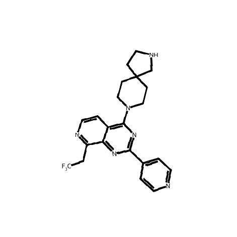 FC(F)(F)Cc1nccc2c(N3CCC4(CCNC4)CC3)nc(-c3ccncc3)nc12